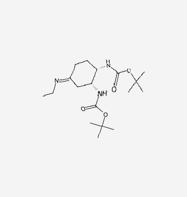 CC/N=C1/CC[C@H](NC(=O)OC(C)(C)C)[C@H](NC(=O)OC(C)(C)C)C1